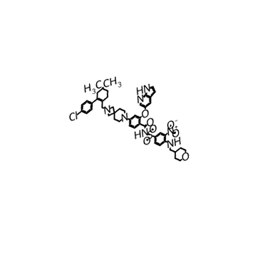 CC1(C)CCC(CN2CC3(CCN(c4ccc(C(=O)NS(=O)(=O)c5ccc(NCC6CCOCC6)c([N+](=O)[O-])c5)c(Oc5cnc6[nH]ccc6c5)c4)CC3)C2)=C(c2ccc(Cl)cc2)C1